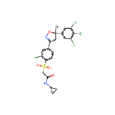 O=C(CS(=O)(=O)c1ccc(C2=NOC(c3cc(Cl)c(Cl)c(Cl)c3)(C(F)(F)F)C2)cc1Cl)NC1CC1